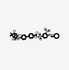 C[C@@H]1[C@H]2C[C@H](C[C@H]1Nc1ccc(-c3ccc(C(=O)NS(=O)(=O)c4ccc(NCC5CCCCC5)c([N+](=O)[O-])c4)cc3)cc1)C2(C)C